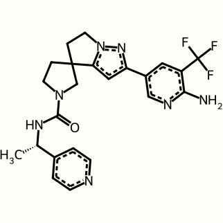 C[C@H](NC(=O)N1CCC2(CCn3nc(-c4cnc(N)c(C(F)(F)F)c4)cc32)C1)c1ccncc1